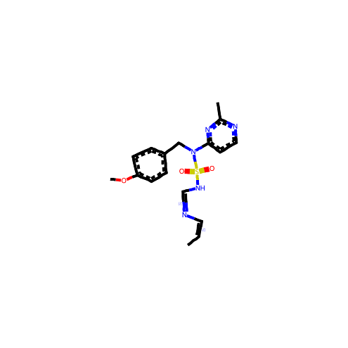 C/C=C\N=C/NS(=O)(=O)N(Cc1ccc(OC)cc1)c1ccnc(C)n1